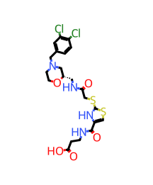 O=C(O)CCNC(=O)C1=CSC(SCC(=O)NC[C@H]2CN(Cc3ccc(Cl)c(Cl)c3)CCO2)N1